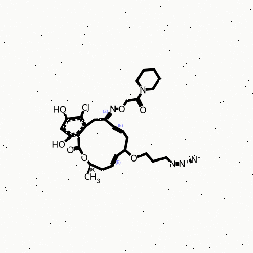 C[C@@H]1C/C=C/C(OCCCN=[N+]=[N-])C/C=C/C(=N\OCC(=O)N2CCCCC2)Cc2c(Cl)c(O)cc(O)c2C(=O)O1